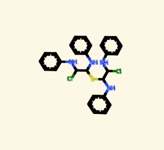 ClC(Nc1ccccc1)C(Nc1ccccc1)SC(Nc1ccccc1)C(Cl)Nc1ccccc1